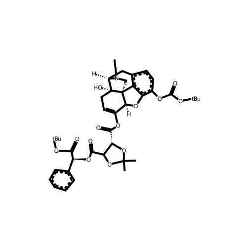 CN1CC[C@]23c4c5ccc(OC(=O)OC(C)(C)C)c4O[C@H]2C(OC(=O)[C@@H]2OC(C)(C)OC2C(=O)O[C@H](C(=O)OC(C)(C)C)c2ccccc2)=CC[C@@]3(O)[C@H]1C5